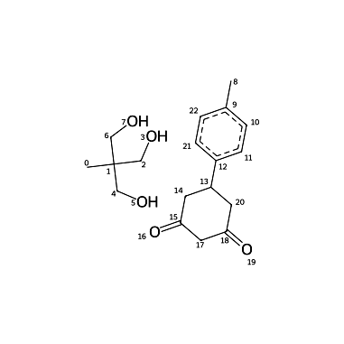 CC(CO)(CO)CO.Cc1ccc(C2CC(=O)CC(=O)C2)cc1